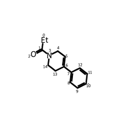 CCC(=O)N1CC=C(c2cc[c]cc2)CC1